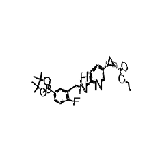 CCOC(=O)[C@H]1C[C@@H]1c1ccc(NCc2cc(B3OC(C)(C)C(C)(C)O3)ccc2F)nc1